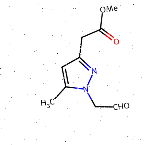 COC(=O)Cc1cc(C)n(CC=O)n1